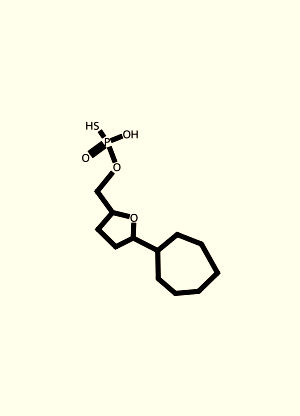 O=P(O)(S)OCC1CCC(C2CCCCCC2)O1